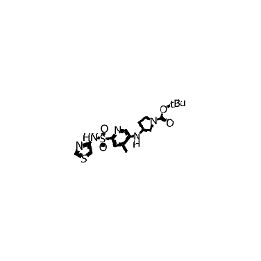 Cc1cc(S(=O)(=O)Nc2cscn2)ncc1NC1CCN(C(=O)OC(C)(C)C)C1